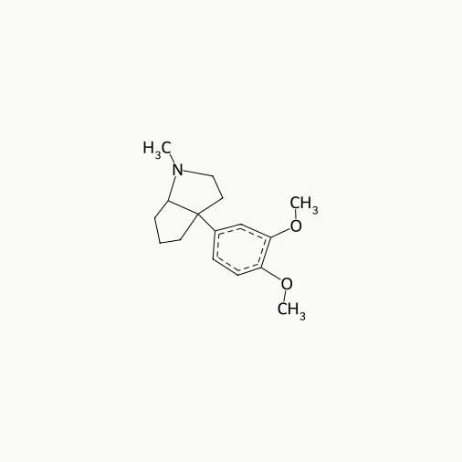 COc1ccc(C23CCCC2N(C)CC3)cc1OC